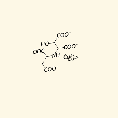 O=C([O-])CC(NC(C(=O)[O-])C(O)C(=O)[O-])C(=O)[O-].[Cu+2].[Cu+2]